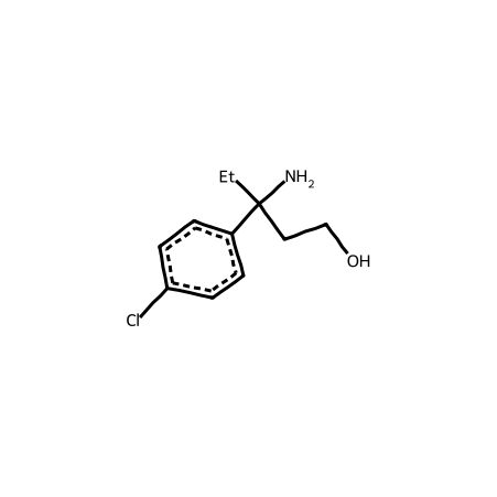 CCC(N)(CCO)c1ccc(Cl)cc1